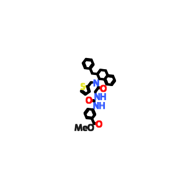 COC(=O)c1cccc(NC(=O)NCC(=O)N(Cc2cccs2)C2c3ccccc3CCC2Cc2ccccc2)c1